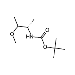 COC(C)[C@H](C)NC(=O)OC(C)(C)C